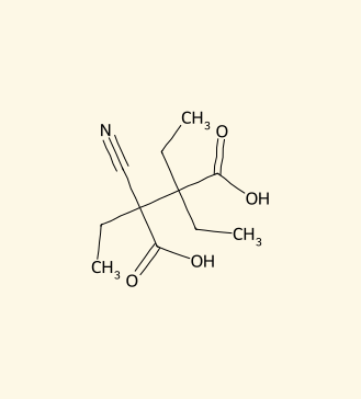 CCC(C#N)(C(=O)O)C(CC)(CC)C(=O)O